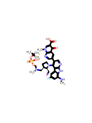 CNc1cc(F)c(F)c2c1[nH]c1ncc(-c3cnc4c(c3)c(=O)c(C(=O)O)cn4C)c(N3CC[C@H](CN(C)COP(=O)(O)OC(C)(C)C)[C@@H]3CI)c12